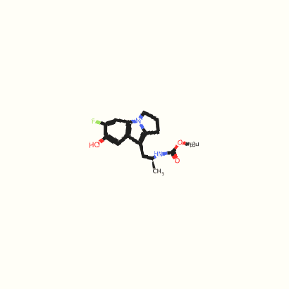 C[C@@H](Cc1c2n(c3cc(F)c(O)cc13)CCC2)NC(=O)OC(C)(C)C